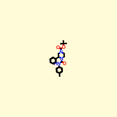 Cc1ccc(NC(=O)N2CCN(C(=O)OC(C)(C)C)CC2c2ccccc2)cc1